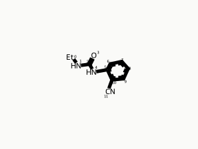 CCNC(=O)Nc1ccccc1C#N